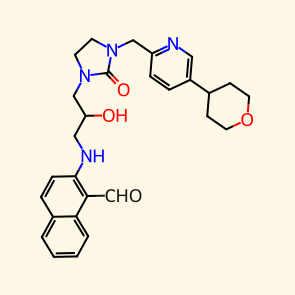 O=Cc1c(NCC(O)CN2CCN(Cc3ccc(C4CCOCC4)cn3)C2=O)ccc2ccccc12